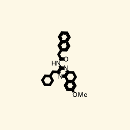 COc1ccc2c(c1)CCc1nc(NC(=O)Cc3ccc4ccccc4c3)c(CC3CCCCC3)nc1-2